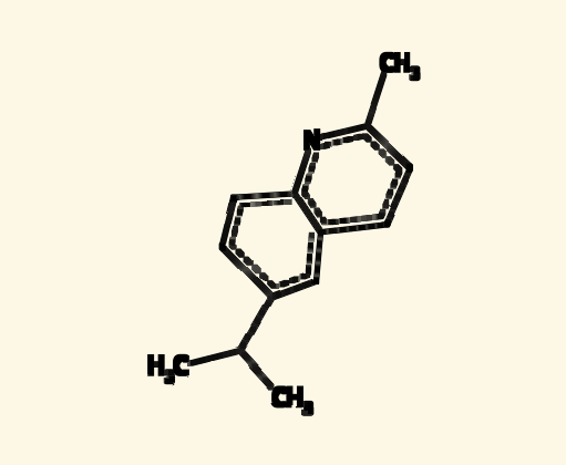 Cc1ccc2cc(C(C)C)ccc2n1